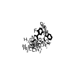 CC(C)(O[Si](C)(C)C(C)(C)C)c1ncc(-c2cc(N[C@H](C/C=N\[S+]([O-])C(C)(C)C)c3c(Br)cccc3OC(F)F)c([N+](=O)[O-])cc2F)cn1